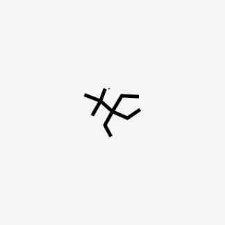 [CH2]C(C)(C)C(CC)(CC)CC